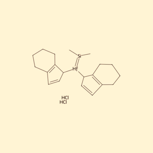 C[Si](C)=[Hf]([CH]1C=CC2=C1CCCC2)[CH]1C=CC2=C1CCCC2.Cl.Cl